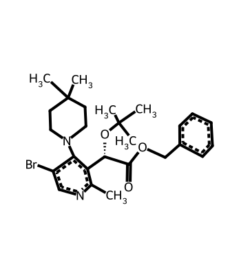 Cc1ncc(Br)c(N2CCC(C)(C)CC2)c1[C@H](OC(C)(C)C)C(=O)OCc1ccccc1